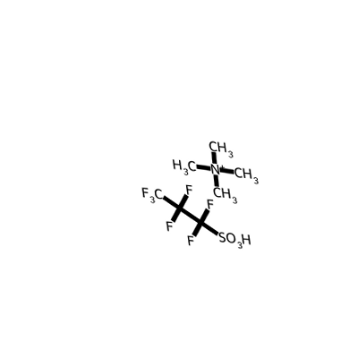 C[N+](C)(C)C.O=S(=O)(O)C(F)(F)C(F)(F)C(F)(F)F